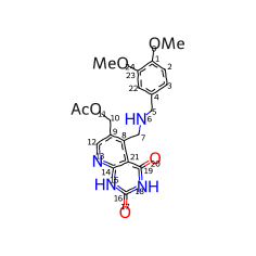 COc1ccc(CNCc2c(COC(C)=O)cnc3[nH]c(=O)[nH]c(=O)c23)cc1OC